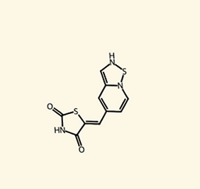 O=C1NC(=O)C(=CC2=CC3=CNSN3C=C2)S1